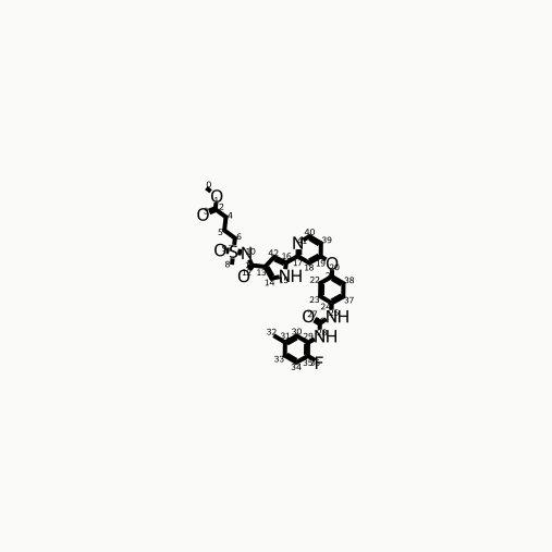 COC(=O)CCCS(C)(=O)=NC(=O)c1c[nH]c(-c2cc(Oc3ccc(NC(=O)Nc4cc(C)ccc4F)cc3)ccn2)c1